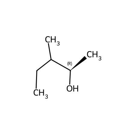 CCC(C)[C@@H](C)O